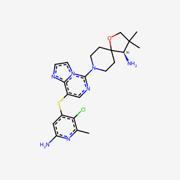 Cc1nc(N)cc(Sc2cnc(N3CCC4(CC3)OCC(C)(C)[C@H]4N)n3ccnc23)c1Cl